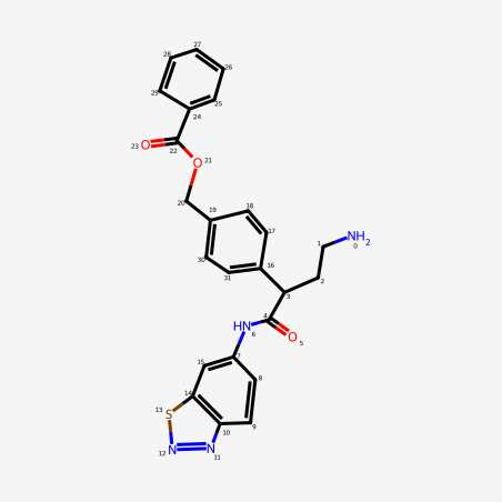 NCCC(C(=O)Nc1ccc2nnsc2c1)c1ccc(COC(=O)c2ccccc2)cc1